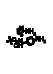 CC(C)(C)OC(=O)NCc1ccc(N)cc1.Nc1nccs1